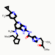 COCC1(CN(C)c2cc(-c3cnc(C4CC4)c(C(F)(F)F)c3)nc3nc(NC(=O)c4cn(C[C@H](C)C(=O)OC)cn4)[nH]c23)CCCC1